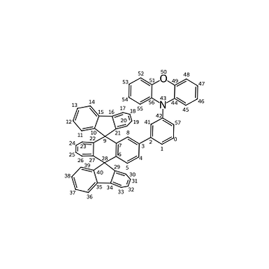 c1cc(-c2ccc3c(c2)C2(c4ccccc4-c4ccccc42)c2ccccc2C32c3ccccc3-c3ccccc32)cc(N2c3ccccc3Oc3ccccc32)c1